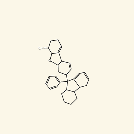 ClC1CCC=C2C3C=CC(C4(c5ccccc5)C5=CC=CCC5C5CCCCC54)CC3OC21